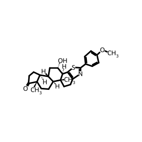 COc1ccc(-c2nc3c(s2)[C@@H]2[C@@H](O)C[C@@H]4[C@H](CC[C@]5(C)C(=O)CC[C@@H]45)[C@@]2(C)CC3)cc1